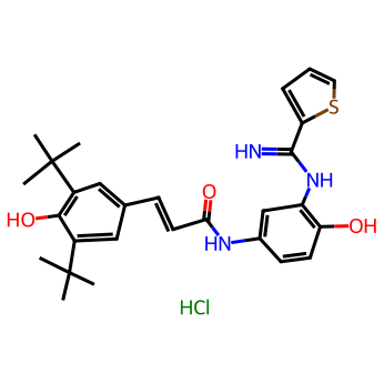 CC(C)(C)c1cc(C=CC(=O)Nc2ccc(O)c(NC(=N)c3cccs3)c2)cc(C(C)(C)C)c1O.Cl